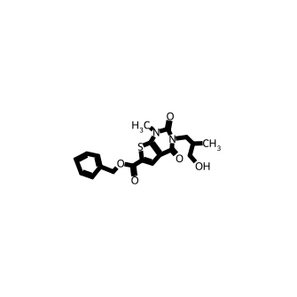 CC(CO)Cn1c(=O)c2cc(C(=O)OCc3ccccc3)sc2n(C)c1=O